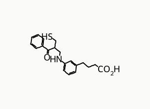 O=C(O)CCCc1cccc(NCC(CS)C(=O)c2ccccc2)c1